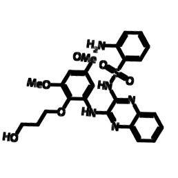 COc1cc(Nc2nc3ccccc3nc2NS(=O)(=O)c2ccccc2N)c(OCCCO)c(OC)c1